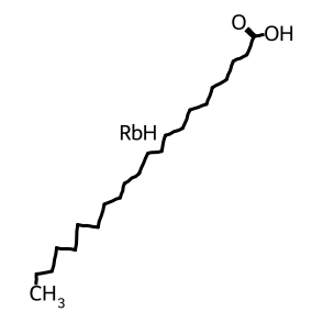 CCCCCCCCCCCCCCCCCCCCCC(=O)O.[RbH]